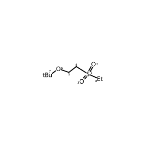 CCS(=O)(=O)CCOC(C)(C)C